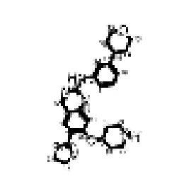 c1cc(Nc2ncc3cc(C4=NCCS4)c(OC4CCNCC4)cc3n2)cc(C2CCOCC2)c1